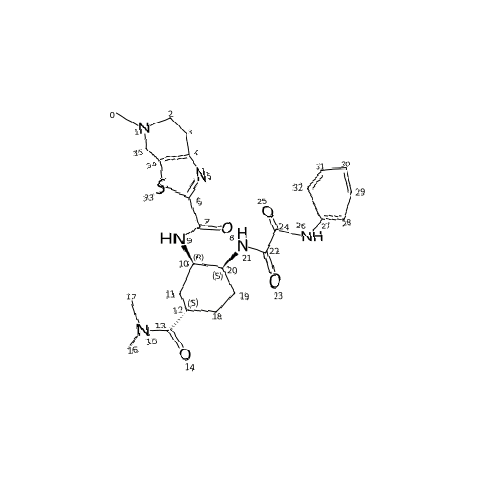 CN1CCc2nc(C(=O)N[C@@H]3C[C@@H](C(=O)N(C)C)CC[C@@H]3NC(=O)C(=O)Nc3ccccc3)sc2C1